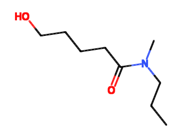 CCCN(C)C(=O)CCCCO